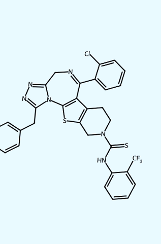 FC(F)(F)c1ccccc1NC(=S)N1CCc2c(sc3c2C(c2ccccc2Cl)=NCc2nnc(Cc4ccccc4)n2-3)C1